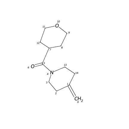 C=C1CCN(C(=O)C2CCOCC2)CC1